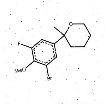 COc1c(F)cc(C2(C)CCCCO2)cc1Br